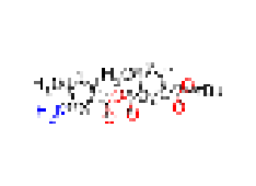 Cc1ccc(C(=O)OC(=O)c2cc(C(=O)OC(C)(C)C)ccc2C)cc1N